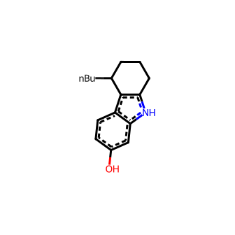 CCCCC1CCCc2[nH]c3cc(O)ccc3c21